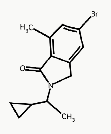 Cc1cc(Br)cc2c1C(=O)N(C(C)C1CC1)C2